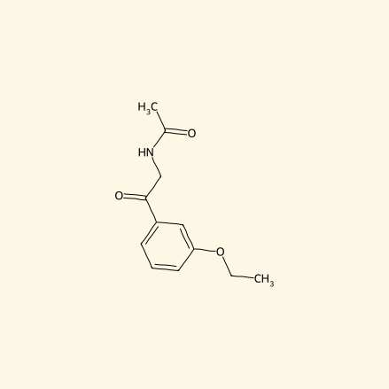 CCOc1cccc(C(=O)CNC(C)=O)c1